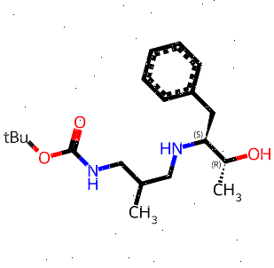 CC(CNC(=O)OC(C)(C)C)CN[C@@H](Cc1ccccc1)[C@@H](C)O